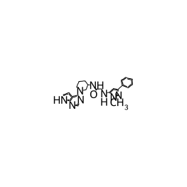 Cn1nc(-c2ccccc2)cc1NCC(=O)NC1CCCN(c2ncnc3[nH]ccc23)C1